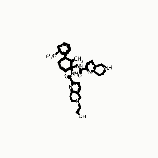 Cc1ccccc1C1=CC=CC(NC(=O)c2ccc3c(n2)CCNC3)(NC(=O)c2ccc3c(n2)CCN(CCO)C3)C1C